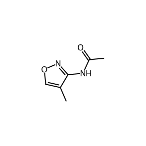 CC(=O)Nc1nocc1C